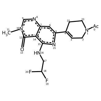 CC(=O)N1CC=C(c2cc3ncn(C)c(=O)c3c(NCC(F)F)n2)CC1